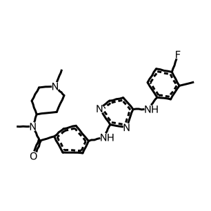 Cc1cc(Nc2ccnc(Nc3ccc(C(=O)N(C)C4CCN(C)CC4)cc3)n2)ccc1F